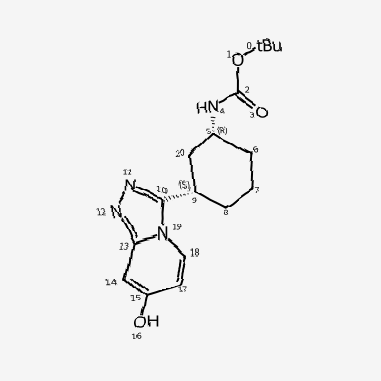 CC(C)(C)OC(=O)N[C@@H]1CCC[C@H](c2nnc3cc(O)ccn23)C1